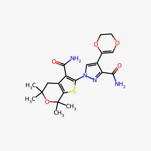 CC1(C)Cc2c(sc(-n3cc(C4=COCCO4)c(C(N)=O)n3)c2C(N)=O)C(C)(C)O1